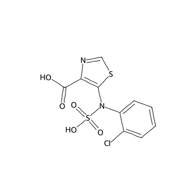 O=C(O)c1ncsc1N(c1ccccc1Cl)S(=O)(=O)O